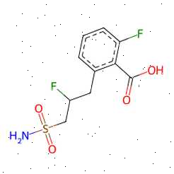 NS(=O)(=O)CC(F)Cc1cccc(F)c1C(=O)O